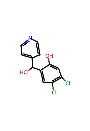 Oc1cc(Cl)c(Cl)cc1C(O)c1ccncc1